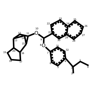 CCC(C)c1ccc(OC(OC2CC3CC2C2CCCC32)c2ccc3ccccc3c2)cc1